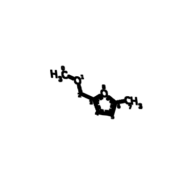 COCc1ccc(C)o1